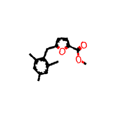 COC(=O)c1ccc(Cc2c(C)cc(C)cc2C)o1